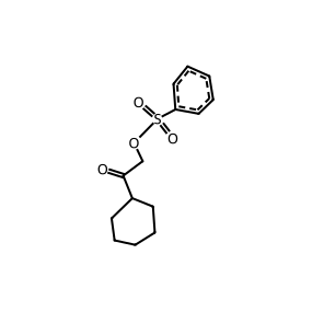 O=C(COS(=O)(=O)c1ccccc1)C1CCCCC1